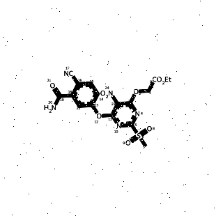 CCOC(=O)COc1nc(S(C)(=O)=O)nc(Oc2ccc(C#N)c(C(N)=O)c2)c1[N+](=O)[O-]